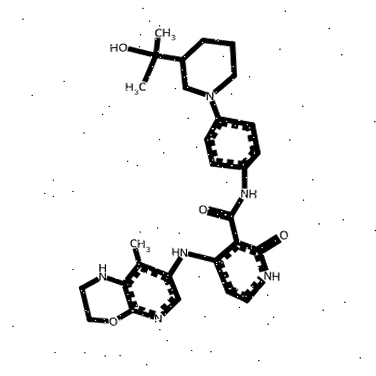 Cc1c(Nc2cc[nH]c(=O)c2C(=O)Nc2ccc(N3CCCC(C(C)(C)O)C3)cc2)cnc2c1NCCO2